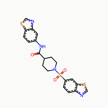 O=C(Nc1ccc2scnc2c1)C1CCN(S(=O)(=O)c2ccc3ncsc3c2)CC1